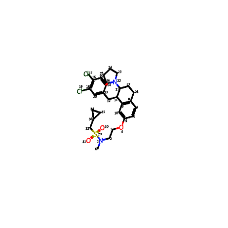 CN(CCOc1ccc2c(c1)C(Cc1ccc(Cl)c(Cl)c1)C(N1CCCC1)CC2)S(=O)(=O)CC1CC1